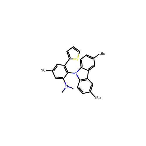 CN(C)c1cc(C#N)cc(-c2cccs2)c1-n1c2ccc(C(C)(C)C)cc2c2cc(C(C)(C)C)ccc21